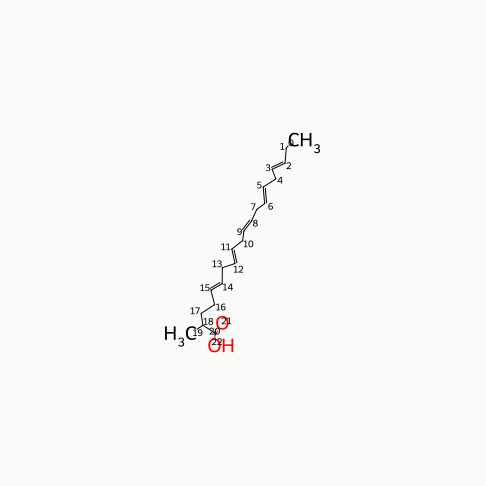 CC/C=C/C/C=C/C/C=C/C/C=C/C/C=C/CCC(C)C(=O)O